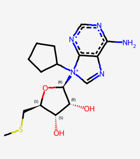 CSC[C@H]1O[C@@H]([N+]2(C3CCCC3)C=Nc3c(N)ncnc32)[C@H](O)[C@@H]1O